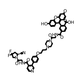 N#C[C@@H]1CC(F)(F)CN1C(=O)CNC(=O)c1ccncc1-c1ccc(OCCCN2CCN(C(=O)CNC(=O)c3ccc(C(=O)O)c(-c4c5ccc(=O)cc-5oc5cc(O)ccc45)c3)CC2)cc1